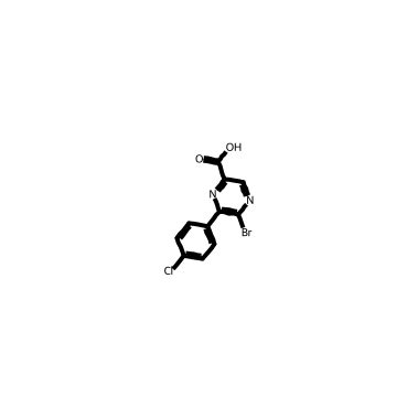 O=C(O)c1cnc(Br)c(-c2ccc(Cl)cc2)n1